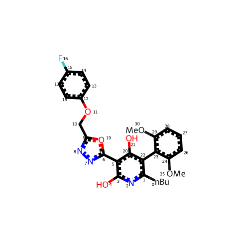 CCCCc1nc(O)c(-c2nnc(COc3ccc(F)cc3)o2)c(O)c1-c1c(OC)cccc1OC